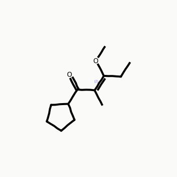 CC/C(OC)=C(\C)C(=O)C1CCCC1